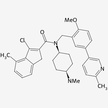 CN[C@H]1CC[C@@H](N(Cc2cc(-c3ccc(C)nc3)ccc2OC)C(=O)C2=C(Cl)c3c(C)cccc3C2)CC1